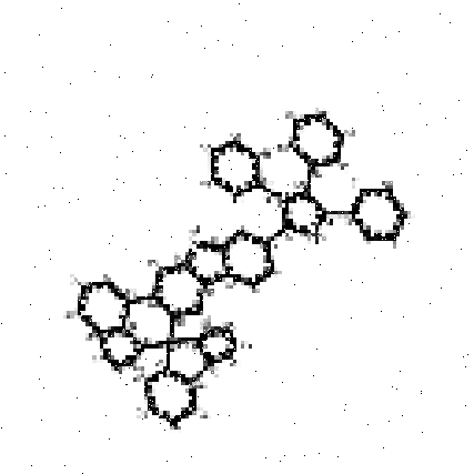 c1ccc(-c2nc(-c3ccc4c(c3)sc3cc5c(cc34)C3(c4ccccc4-c4ccccc43)c3cccc4cccc-5c34)n(-c3ccccc3)c2-c2ccccc2)cc1